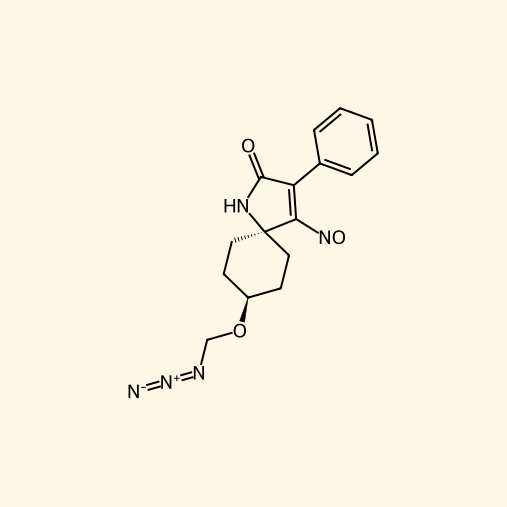 [N-]=[N+]=NCO[C@H]1CC[C@]2(CC1)NC(=O)C(c1ccccc1)=C2N=O